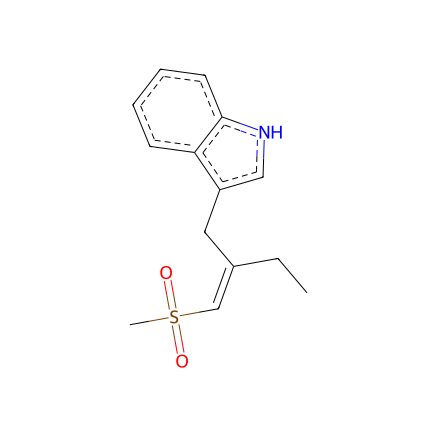 CC/C(=C/S(C)(=O)=O)Cc1c[nH]c2ccccc12